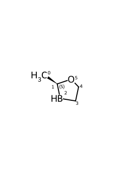 C[C@@H]1BCCO1